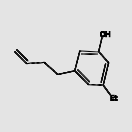 C=CCCc1cc(O)cc(CC)c1